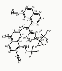 CC(C)(C)CNc1c(C#N)cnc2c(Cl)cc(NC(c3cn(C4(C(F)(F)F)CC4)nn3)c3cccc4cnc(C#N)cc34)cc12